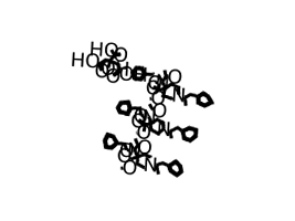 COC(=O)C1(N(OCc2ccccc2)C(C)=O)CCN(C(C)Cc2ccccc2)CC1.COC(=O)C1(N(OCc2ccccc2)C(C)=O)CCN(C(C)Cc2ccccc2)CC1.COC(=O)C1(N(OCc2ccccc2)C(C)=O)CCN(C(C)Cc2ccccc2)CC1.O=C(O)CC(O)(CC(=O)O)C(=O)O